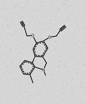 C#CCOc1cc2c(cc1OCC#C)-c1cccc(C)c1N(C)C2